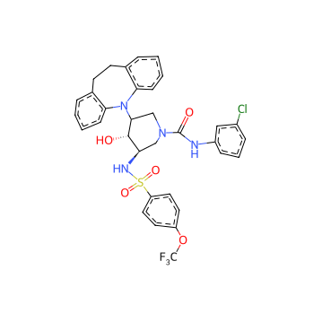 O=C(Nc1cccc(Cl)c1)N1CC(N2c3ccccc3CCc3ccccc32)[C@@H](O)[C@H](NS(=O)(=O)c2ccc(OC(F)(F)F)cc2)C1